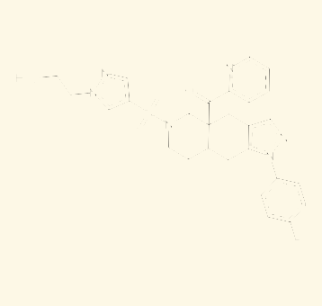 CCCn1cc(S(=O)(=O)N2CCC3Cc4c(cnn4-c4ccc(F)cc4)CC3(C(=O)c3ccccn3)C2)cn1